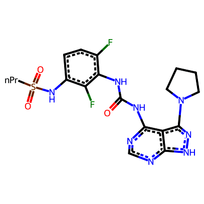 CCCS(=O)(=O)Nc1ccc(F)c(NC(=O)Nc2ncnc3[nH]nc(N4CCCC4)c23)c1F